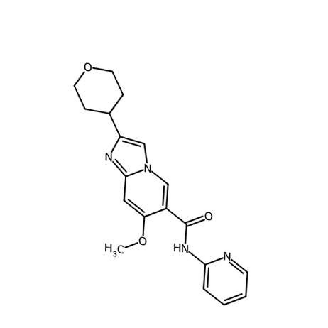 COc1cc2nc(C3CCOCC3)cn2cc1C(=O)Nc1ccccn1